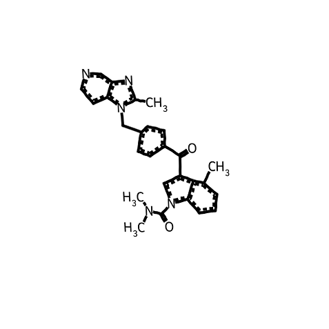 Cc1cccc2c1c(C(=O)c1ccc(Cn3c(C)nc4cnccc43)cc1)cn2C(=O)N(C)C